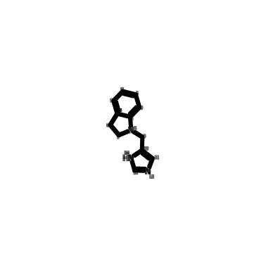 c1ccc2c(c1)CCN2Cc1cnc[nH]1